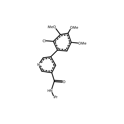 COc1cc(-c2cncc(C(=O)NC(C)C)c2)c(Cl)c(OC)c1OC